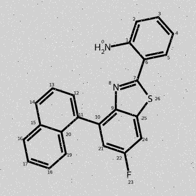 Nc1ccccc1-c1nc2c(-c3cccc4ccccc34)cc(F)cc2s1